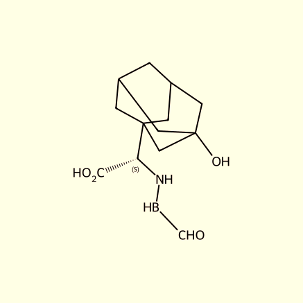 O=CBN[C@H](C(=O)O)C12CC3CC(CC(O)(C3)C1)C2